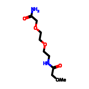 COCC(=O)NCCOCCOCC(N)=O